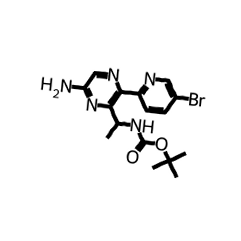 CC(NC(=O)OC(C)(C)C)c1nc(N)cnc1-c1ccc(Br)cn1